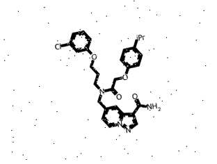 CC(C)c1ccc(OCC(=O)N(CCCOc2cccc(Cl)c2)Cc2ccn3ncc(C(N)=O)c3c2)cc1